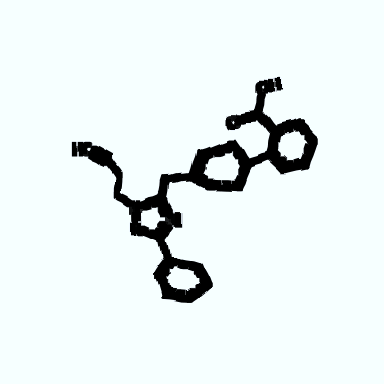 C#CCCn1nc(-c2ccccc2)nc1Cc1ccc(-c2ccccc2C(=O)O)cc1